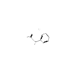 O=C(O)[C@H](O)c1ccccc1.[Mg]